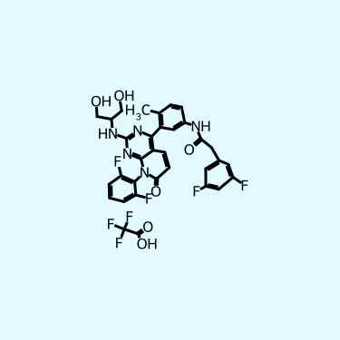 Cc1ccc(NC(=O)Cc2cc(F)cc(F)c2)cc1-c1nc(NC(CO)CO)nc2c1ccc(=O)n2-c1c(F)cccc1F.O=C(O)C(F)(F)F